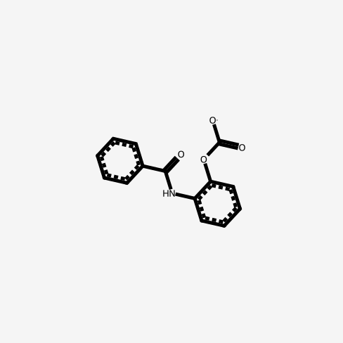 [O]C(=O)Oc1ccccc1NC(=O)c1ccccc1